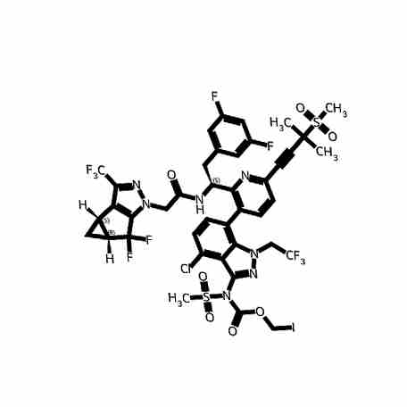 CC(C)(C#Cc1ccc(-c2ccc(Cl)c3c(N(C(=O)OCI)S(C)(=O)=O)nn(CC(F)(F)F)c23)c([C@H](Cc2cc(F)cc(F)c2)NC(=O)Cn2nc(C(F)(F)F)c3c2C(F)(F)[C@@H]2C[C@H]32)n1)S(C)(=O)=O